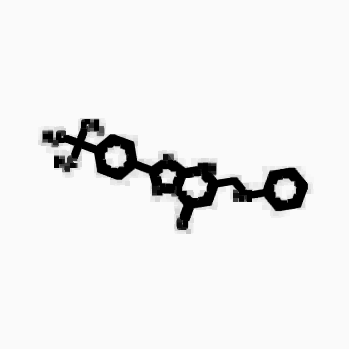 CC(C)(C)c1ccc(-c2nc3[nH]c(CNc4ccccc4)cc(=O)n3n2)cc1